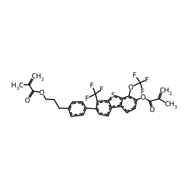 C=C(C)C(=O)OCCCc1ccc(-c2ccc3c(sc4c(OC(F)(F)F)c(OC(=O)C(=C)C)ccc43)c2C(F)(F)F)cc1